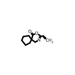 C=CC1=NCC2(CCCCC2)C(=O)O1